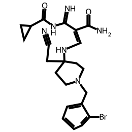 N#CCC1(N/C=C(\C(=N)NC(=O)C2CC2)C(N)=O)CCN(Cc2ccccc2Br)CC1